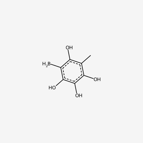 Bc1c(O)c(C)c(O)c(O)c1O